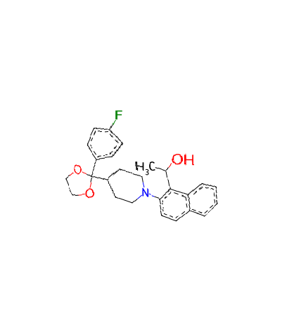 CC(O)c1c(N2CCC(C3(c4ccc(F)cc4)OCCO3)CC2)ccc2ccccc12